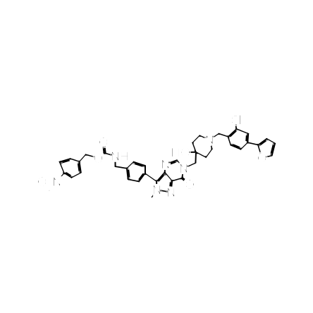 Cn1nc2c(=O)n(CC3(O)CCN(Cc4ccc(-c5ccco5)cc4Cl)CC3)cnc2c1-c1ccc(CNC(=O)OCc2ccc([N+](=O)[O-])cc2)cc1